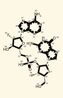 Nc1nc2c(ncn2[C@@H]2S[C@H](CO)[C@H](F)[C@H]2OP(=O)(S)OC[C@H]2O[C@@H](n3cnc4c(N)ncnc43)[C@@H](F)[C@@H]2O)c(=O)[nH]1